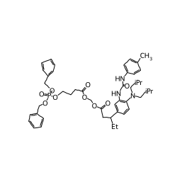 CCC(CC(=O)OCOC(=O)CCCOP(=O)(OCc1ccccc1)OCc1ccccc1)c1ccc(N(CC(C)C)CC(C)C)c(NC(=O)Nc2ccc(C)cc2)c1